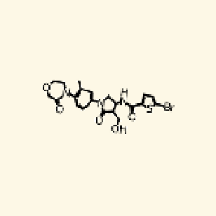 Cc1cc(N2CC(NC(=O)c3ccc(Br)s3)C(CO)C2=O)ccc1N1CCOCC1=O